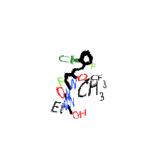 CCn1c(CO)nn(-c2nc(O[C@@H](C)C(F)(F)F)c(CCc3c(F)cccc3Cl)cc2F)c1=O